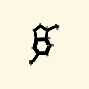 CC(=O)N1CCc2cc(Br)cnc21